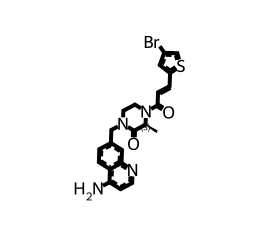 C[C@H]1C(=O)N(Cc2ccc3c(N)ccnc3c2)CCN1C(=O)C=Cc1cc(Br)cs1